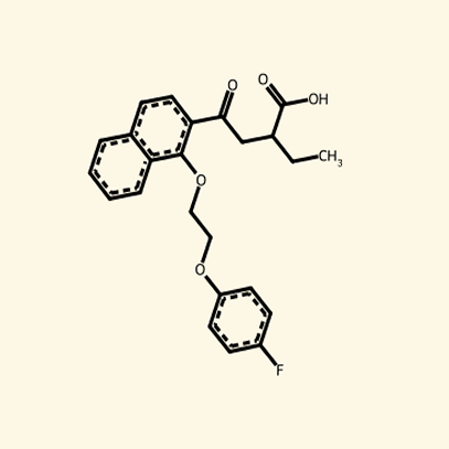 CCC(CC(=O)c1ccc2ccccc2c1OCCOc1ccc(F)cc1)C(=O)O